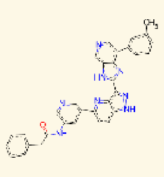 Cc1cccc(-c2cncc3[nH]c(-c4n[nH]c5ccc(-c6cncc(NC(=O)Cc7ccccc7)c6)nc45)nc23)c1